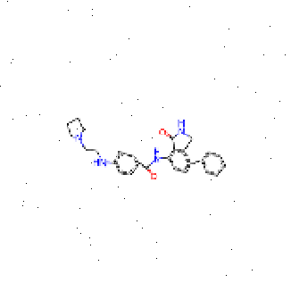 O=C(Nc1ccc(-c2ccccc2)c2c1C(=O)NC2)c1ccc(NCCN2CCCC2)cc1